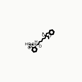 COC(CCCCC(=O)Nc1ccccc1S(=O)(=O)O)(Cc1ccccc1)C(C)=O